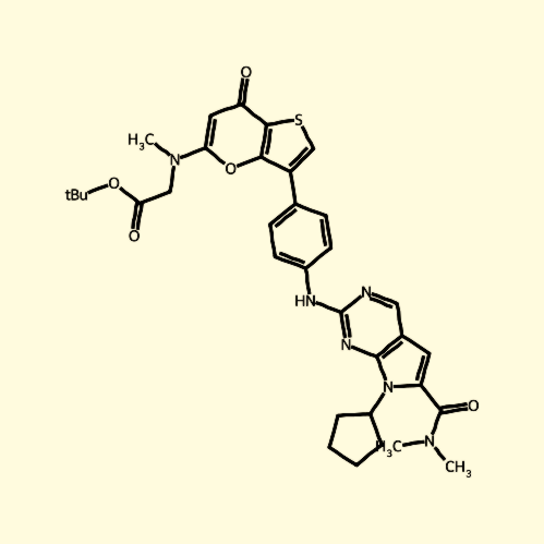 CN(C)C(=O)c1cc2cnc(Nc3ccc(-c4csc5c(=O)cc(N(C)CC(=O)OC(C)(C)C)oc45)cc3)nc2n1C1CCCC1